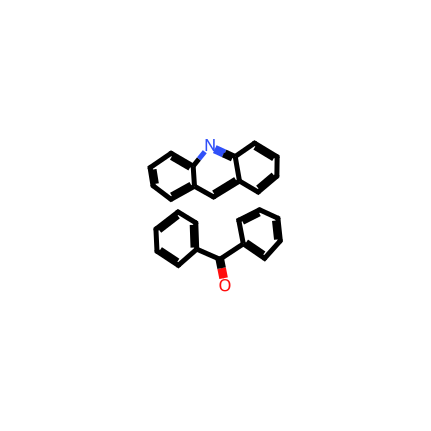 O=C(c1ccccc1)c1ccccc1.c1ccc2nc3ccccc3cc2c1